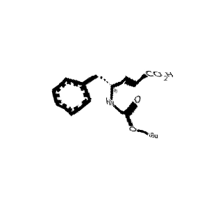 CC(C)(C)OC(=O)N[C@@H](C=CC(=O)O)Cc1ccccc1